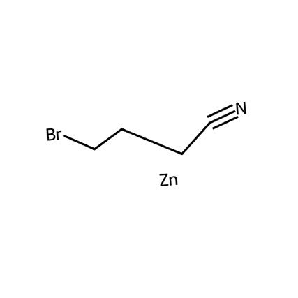 N#CCCCBr.[Zn]